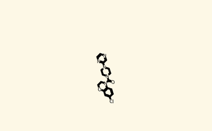 O=C(N1CCN(c2cnccn2)CC1)N1CCOc2cc(Cl)ccc21